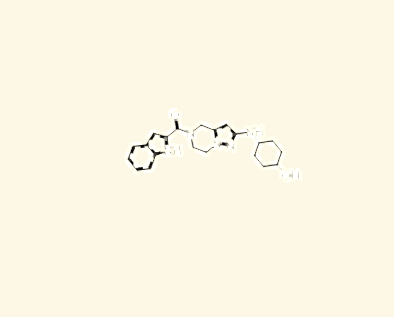 O=C(c1cc2ccccc2[nH]1)N1CCn2nc(N[C@H]3CC[C@H](O)CC3)cc2C1